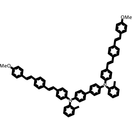 COc1ccc(/C=C/c2ccc(/C=C/c3ccc(N(c4ccc(-c5ccc(N(c6ccc(/C=C/c7ccc(/C=C/c8ccc(OC)cc8)cc7)cc6)c6ccccc6C)cc5)cc4)c4ccccc4C)cc3)cc2)cc1